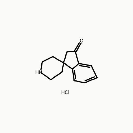 Cl.O=C1CC2(CCNCC2)c2ccccc21